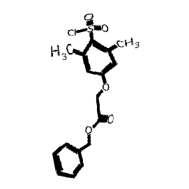 Cc1cc(OCC(=O)OCc2ccccc2)cc(C)c1S(=O)(=O)Cl